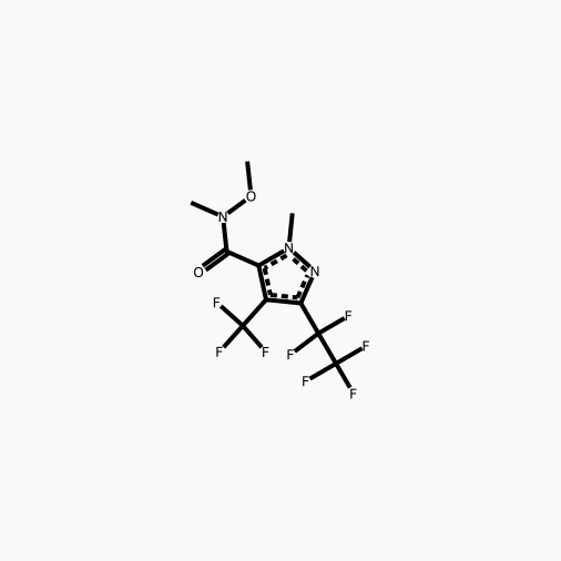 CON(C)C(=O)c1c(C(F)(F)F)c(C(F)(F)C(F)(F)F)nn1C